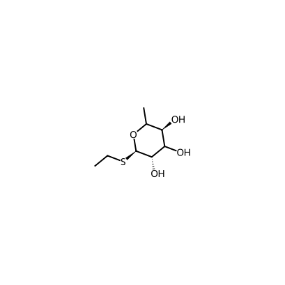 CCS[C@H]1OC(C)[C@@H](O)C(O)[C@@H]1O